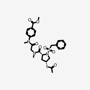 COC(=O)c1ccc(N(C)C(=O)CN(C)C(=O)[C@@H]2C[C@@H](SC(C)=O)CN2S(=O)(=O)Cc2ccccc2)cc1